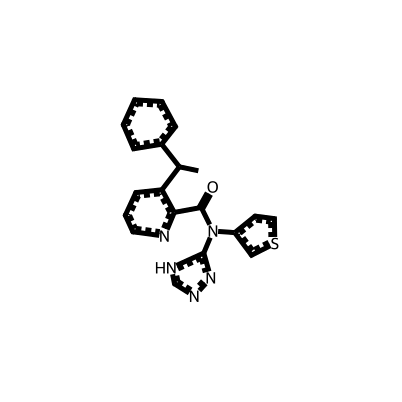 CC(c1ccccc1)c1cccnc1C(=O)N(c1ccsc1)c1nnc[nH]1